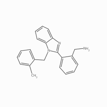 Cc1ccccc1Cn1c(-c2ccccc2CN)nc2ccccc21